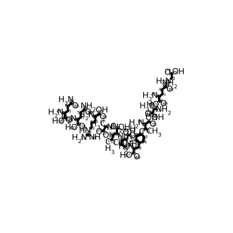 CC(C)C[C@H](N)C(=O)O.CC(C)[C@H](N)C(=O)O.C[C@H](N)C(=O)O.C[C@H](N)C(=O)O.N=C(N)NCCC[C@H](N)C(=O)O.NC(=O)CC[C@H](N)C(=O)O.NC(=O)CC[C@H](N)C(=O)O.NC(=O)CC[C@H](N)C(=O)O.NCC(=O)O.N[C@@H](Cc1ccccc1)C(=O)O.O=C(O)[C@@H]1CCCN1